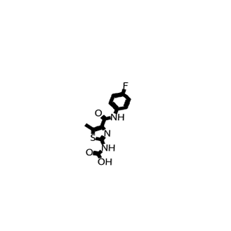 Cc1sc(NC(=O)O)nc1C(=O)Nc1ccc(F)cc1